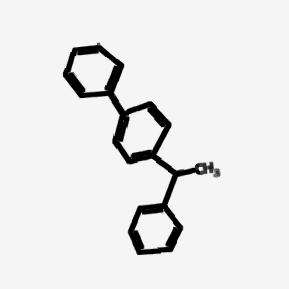 CC(c1ccccc1)c1ccc(-c2c[c]ccc2)cc1